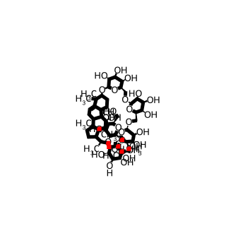 C[C@H](CC[C@@H](O[C@@H]1O[C@H](CO)[C@@H](O)[C@H](O)[C@H]1O[C@H]1O[C@@H](CO)[C@H](O)[C@@H](O)[C@@H]1O)C(C)(C)O)C1CC[C@@]2(C)C3CC=C4C(CC[C@H](O[C@@H]5O[C@H](CO[C@H]6O[C@H](CO[C@H]7O[C@@H](CO)[C@H](O)[C@@H](O)[C@@H]7O)[C@@H](O)[C@H](O)[C@H]6O)[C@@H](O)[C@H](O)[C@H]5O)C4(C)C)[C@]3(C)[C@H](O)C[C@]12C